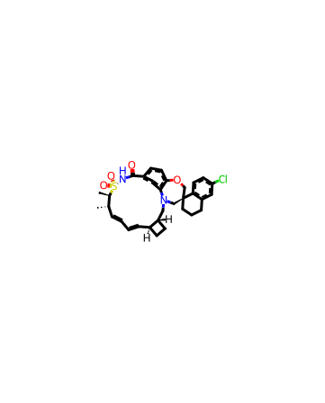 C[C@@H]1[C@@H](C)/C=C/C=C/[C@@H]2CC[C@H]2CN2C[C@@]3(CCCc4cc(Cl)ccc43)COc3ccc(cc32)C(=O)NS1(=O)=O